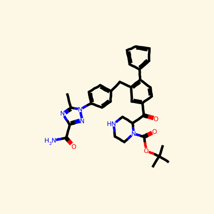 Cc1nc(C(N)=O)nn1-c1ccc(Cc2cc(C(=O)C3CNCCN3C(=O)OC(C)(C)C)ccc2-c2ccccc2)cc1